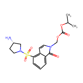 CC(C)OC(=O)OCn1ccc2c(S(=O)(=O)N3CC[C@H](N)C3)cccc2c1=O